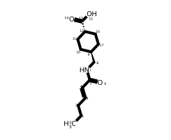 CCCC=CC(=O)NC[C@H]1CC[C@H](C(=O)O)CC1